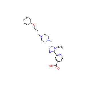 Cn1c(CN2CCN(CCCOc3ccccc3)CC2)cnc1-c1cc(C(=O)O)ccn1